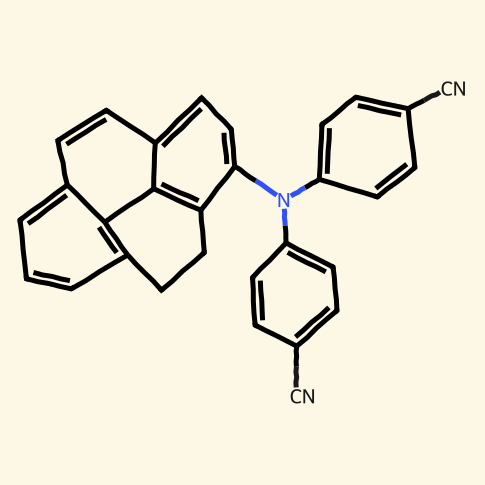 N#Cc1ccc(N(c2ccc(C#N)cc2)c2ccc3ccc4cccc5c4c3c2CC5)cc1